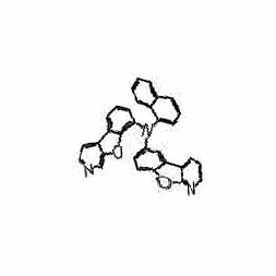 c1ccc2c(N(c3ccc4oc5ncccc5c4c3)c3cccc4c3oc3cnccc34)cccc2c1